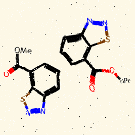 CCCOC(=O)c1cccc2nnsc12.COC(=O)c1cccc2nnsc12